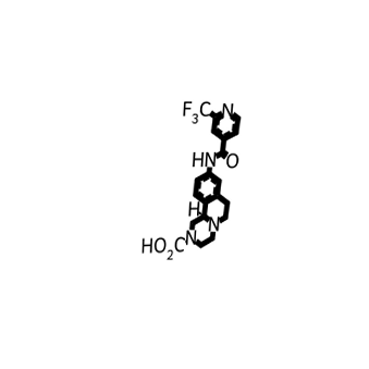 O=C(Nc1ccc2c(c1)CCN1CCN(C(=O)O)C[C@@H]21)c1ccnc(C(F)(F)F)c1